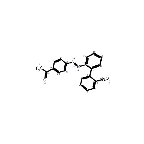 Nc1ccccc1-c1ccccc1/N=N/c1ccc(C(=O)C(F)(F)F)cc1